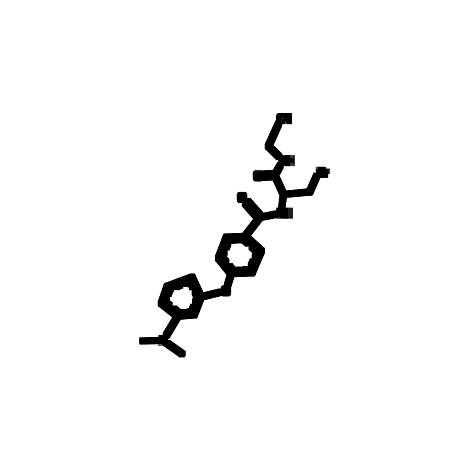 CC(C)CC(NC(=O)c1ccc(Oc2cccc(N(C)C)c2)cc1)C(=O)NCC#N